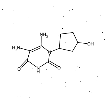 Nc1c(N)n(C2CCC(O)C2)c(=O)[nH]c1=O